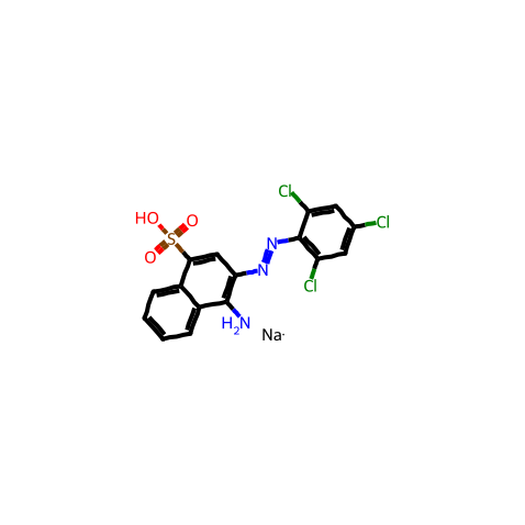 Nc1c(N=Nc2c(Cl)cc(Cl)cc2Cl)cc(S(=O)(=O)O)c2ccccc12.[Na]